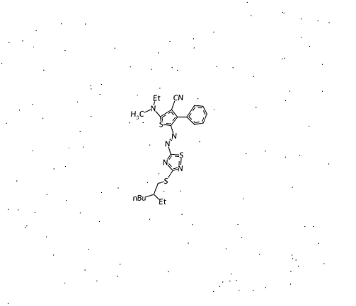 CCCCC(CC)CSc1nsc(/N=N/c2sc(N(C)CC)c(C#N)c2-c2ccccc2)n1